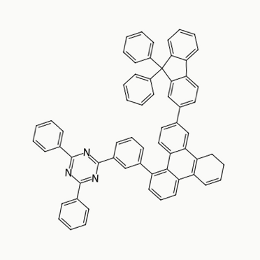 C1=Cc2c(c3cc(-c4ccc5c(c4)C(c4ccccc4)(c4ccccc4)c4ccccc4-5)ccc3c3c(-c4cccc(-c5nc(-c6ccccc6)nc(-c6ccccc6)n5)c4)cccc23)CC1